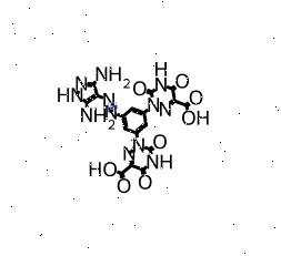 Nc1n[nH]c(N)c1/N=N/c1cc(-n2nc(C(=O)O)c(=O)[nH]c2=O)cc(-n2nc(C(=O)O)c(=O)[nH]c2=O)c1